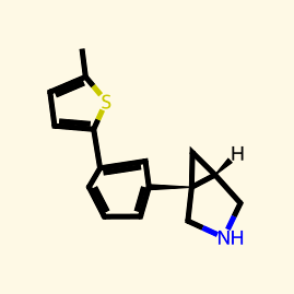 Cc1ccc(-c2cccc([C@]34CNC[C@H]3C4)c2)s1